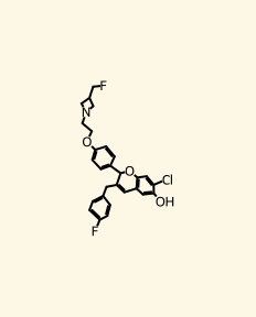 Oc1cc2c(cc1Cl)OC(c1ccc(OCCN3CC(CF)C3)cc1)C(Cc1ccc(F)cc1)=C2